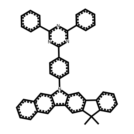 CC1(C)c2ccccc2-c2cc3c(cc21)c1cc2ccccc2cc1n3-c1ccc(-c2nc(-c3ccccc3)nc(-c3ccccc3)n2)cc1